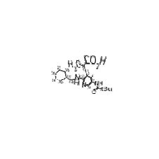 CC(C(=O)O)c1cc(NC(=O)C(C)(C)C)cnc1NCC1CCCCC1